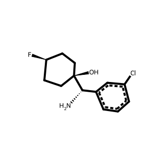 N[C@@H](c1cccc(Cl)c1)[C@]1(O)CC[C@@H](F)CC1